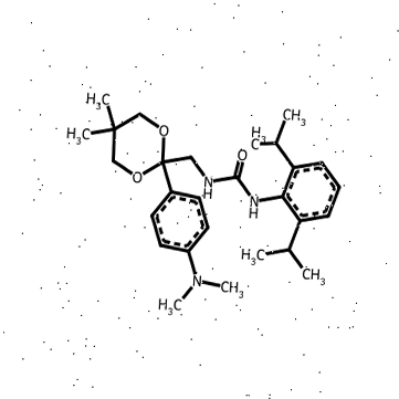 CC(C)c1cccc(C(C)C)c1NC(=O)NCC1(c2ccc(N(C)C)cc2)OCC(C)(C)CO1